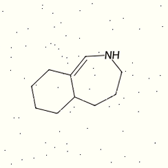 C1=C2CCCCC2CCCN1